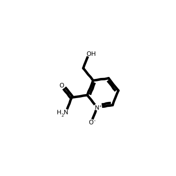 NC(=O)c1c(CO)ccc[n+]1[O-]